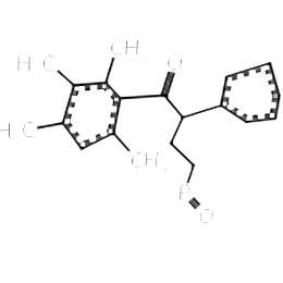 Cc1cc(C)c(C(=O)C(CCP=O)c2ccccc2)c(C)c1C